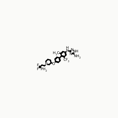 Cc1cc(Nc2n[nH]c(N)n2)cc(C(F)(F)F)c1-c1ccc(OC2CCCN(CCC(F)(F)P)C2)cc1